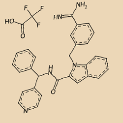 N=C(N)c1cccc(Cn2c(C(=O)NC(c3ccccc3)c3ccncc3)cc3ccccc32)c1.O=C(O)C(F)(F)F